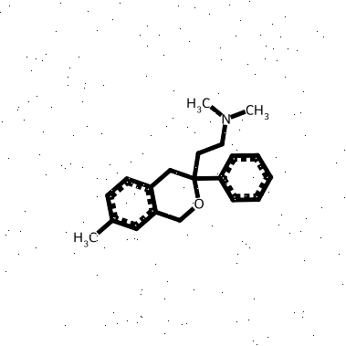 Cc1ccc2c(c1)COC(CCN(C)C)(c1ccccc1)C2